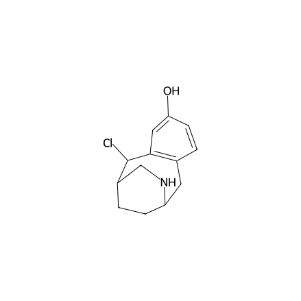 Oc1ccc2c(c1)C(Cl)C1CCC(C2)NC1